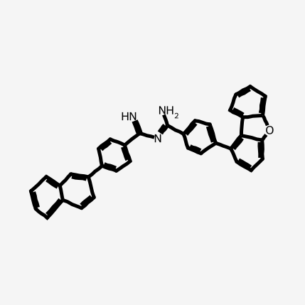 N=C(/N=C(\N)c1ccc(-c2cccc3oc4ccccc4c23)cc1)c1ccc(-c2ccc3ccccc3c2)cc1